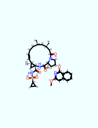 COc1cc2ccccc2c(O[C@@H]2C[C@H]3C(=O)N[C@]4(C(=O)NS(=O)(=O)C5CC5)C[C@H]4/C=C\CC[C@@H](C)C[C@@H](C)CC(=O)N3C2)n1